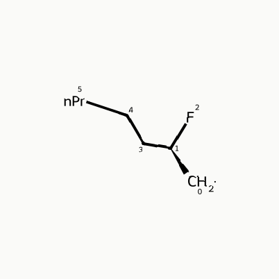 [CH2][C@H](F)CCCCC